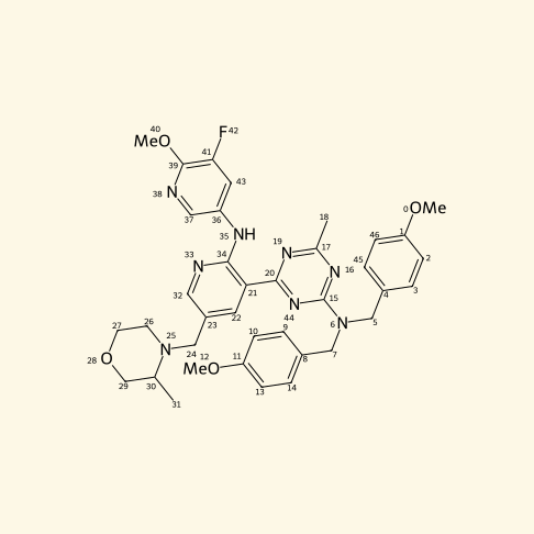 COc1ccc(CN(Cc2ccc(OC)cc2)c2nc(C)nc(-c3cc(CN4CCOCC4C)cnc3Nc3cnc(OC)c(F)c3)n2)cc1